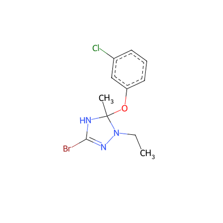 CCN1N=C(Br)NC1(C)Oc1cccc(Cl)c1